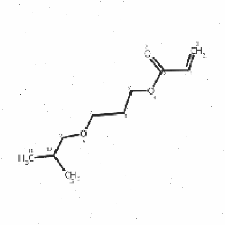 C=CC(=O)OCCCOCC(C)C